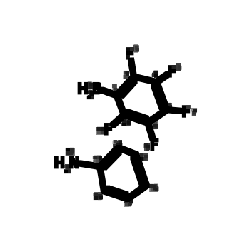 Bc1c(F)c(F)c(F)c(F)c1F.Nc1ccccc1